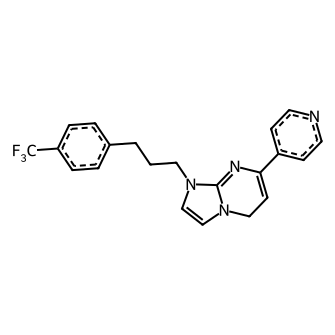 FC(F)(F)c1ccc(CCCN2C=CN3CC=C(c4ccncc4)N=C32)cc1